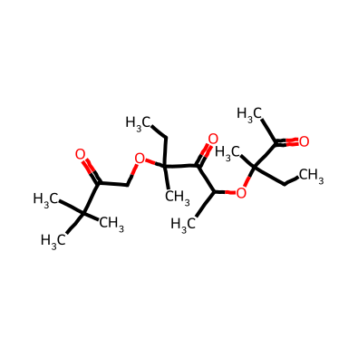 CCC(C)(OC(C)C(=O)C(C)(CC)OCC(=O)C(C)(C)C)C(C)=O